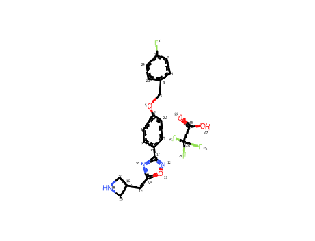 Fc1ccc(COc2ccc(-c3noc(CC4CNC4)n3)cc2)cc1.O=C(O)C(F)(F)F